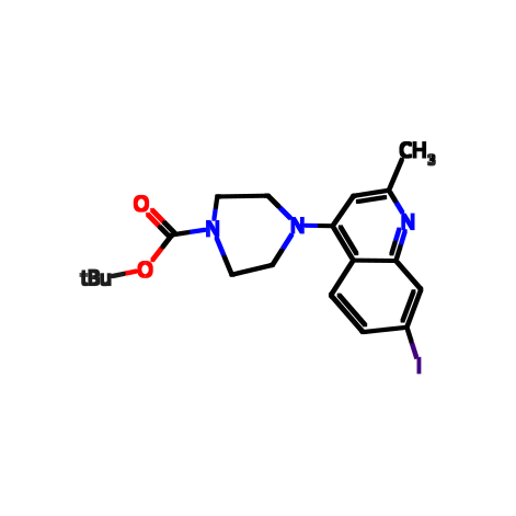 Cc1cc(N2CCN(C(=O)OC(C)(C)C)CC2)c2ccc(I)cc2n1